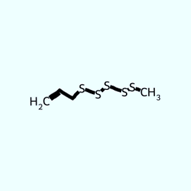 C=CCSSSSSC